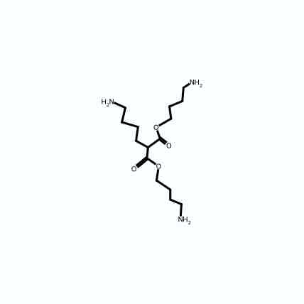 NCCCCOC(=O)C(CCCCN)C(=O)OCCCCN